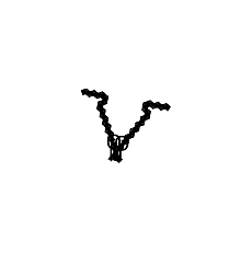 CCCCC/C=C\C/C=C\CCCCCCCCOCC(COCCCCCCCC/C=C\C/C=C\CCCCC)N1CC1C